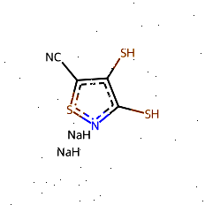 N#Cc1snc(S)c1S.[NaH].[NaH]